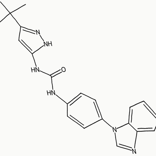 CC(C)(C)c1cc(NC(=O)Nc2ccc(-n3cnc4ccccc43)cc2)[nH]n1